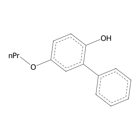 CCCOc1ccc(O)c(-c2ccccc2)c1